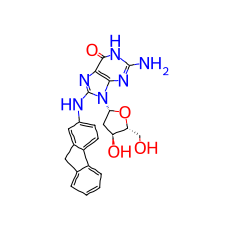 Nc1nc2c(nc(Nc3ccc4c(c3)Cc3ccccc3-4)n2[C@H]2C[C@H](O)[C@@H](CO)O2)c(=O)[nH]1